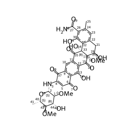 COC1[C@@H](NC2=CC(=O)c3c(cc4c(c3O)C(=O)[C@]3(OC)[C@H](O)Cc5cc(C)c(C(N)=O)c(O)c5[C@]3(O)C4=O)C2=O)O[C@@H](C)[C@H](OC)[C@H]1O